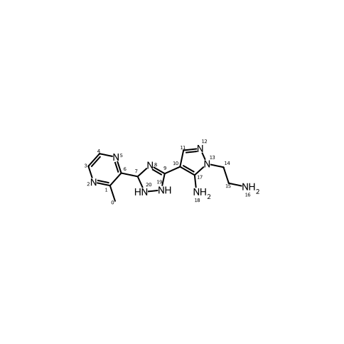 Cc1nccnc1C1N=C(c2cnn(CCN)c2N)NN1